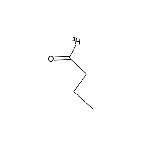 [3H]C(=O)CCC